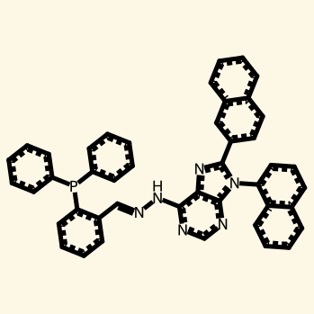 C(=N\Nc1ncnc2c1nc(-c1ccc3ccccc3c1)n2-c1cccc2ccccc12)/c1ccccc1P(c1ccccc1)c1ccccc1